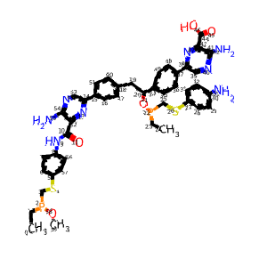 CCP(CSc1ccc(NC(=O)c2nc(-c3ccc(CC(OP(CC)CSc4ccc(N)cc4)c4ccc(-c5cnc(N)c(C(=O)O)n5)cc4)cc3)cnc2N)cc1)OC